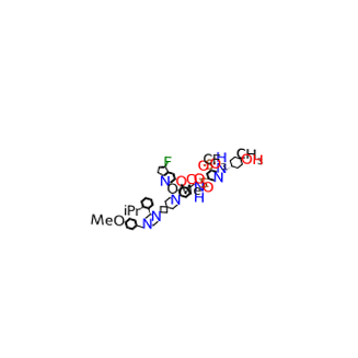 COc1ccc(CN2CCN(C3CC4(CCN(c5ccc(C(=O)NS(=O)(=O)c6cnc(NC[C@H]7CC[C@](C)(O)CC7)c(S(=O)(=O)C(F)(F)F)c6)c(Oc6cc7c(nc6OC)CC=C7F)c5)CC4)C3)[C@H](c3ccccc3C(C)C)C2)cc1